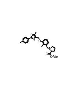 COC(=O)C1CCCN1Cc1cccc(OCc2nc(-c3ccc(C)cc3)oc2C)c1C